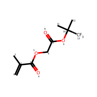 C=C(C)C(=O)OCC(=O)OC(C)(C)C(F)(F)F